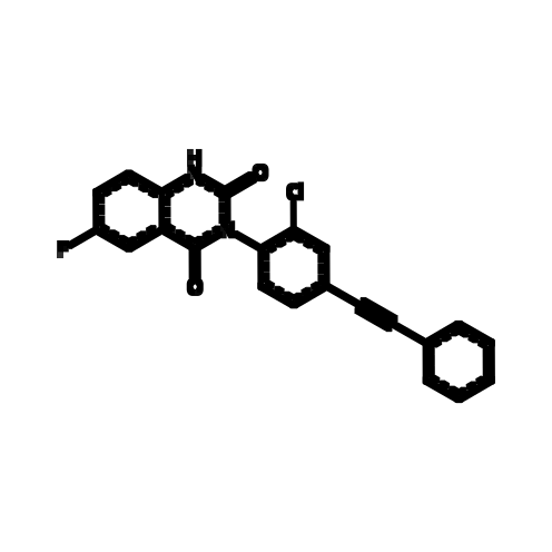 O=c1[nH]c2ccc(F)cc2c(=O)n1-c1ccc(C#Cc2ccccc2)cc1Cl